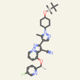 Cc1c(-c2nn3cccc(O[C@H](C)c4ccc(F)cn4)c3c2C#N)cnn1C1CCC(O[Si](C)(C)C(C)(C)C)CC1